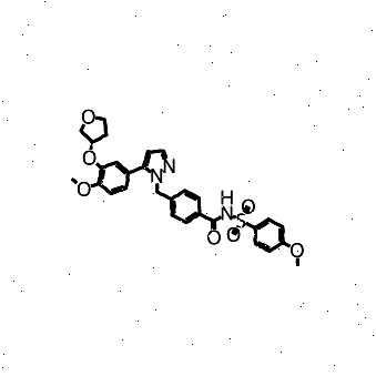 COc1ccc(S(=O)(=O)NC(=O)c2ccc(Cn3nccc3-c3ccc(OC)c(O[C@@H]4CCOC4)c3)cc2)cc1